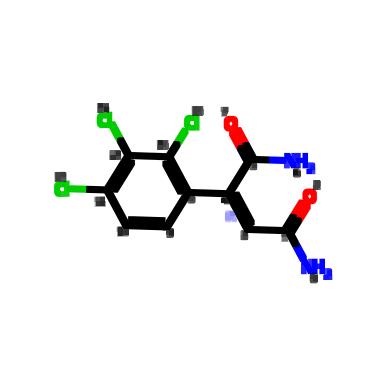 NC(=O)/C=C(\C(N)=O)c1ccc(Cl)c(Cl)c1Cl